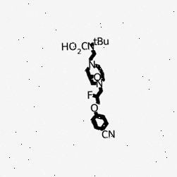 CC(C)(C)N(CCN1CC2CN(CC(F)COc3ccc(C#N)cc3)CC(C1)O2)C(=O)O